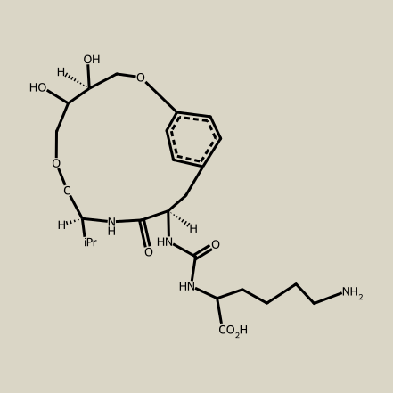 CC(C)[C@H]1COCC(O)[C@@H](O)COc2ccc(cc2)C[C@@H](NC(=O)NC(CCCCN)C(=O)O)C(=O)N1